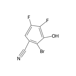 N#Cc1cc(F)c(F)c(O)c1Br